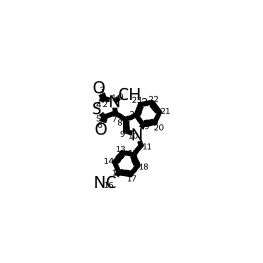 CN1C(=O)SC(=O)C1c1cn(Cc2ccc(C#N)cc2)c2ccccc12